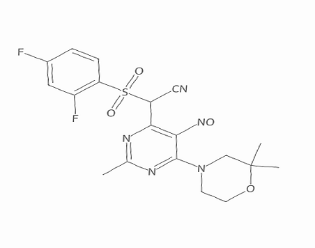 Cc1nc(C(C#N)S(=O)(=O)c2ccc(F)cc2F)c(N=O)c(N2CCOC(C)(C)C2)n1